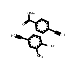 C#Cc1ccc(C(=O)O)c(C)c1.C#Cc1ccc(C(=O)OC)cc1